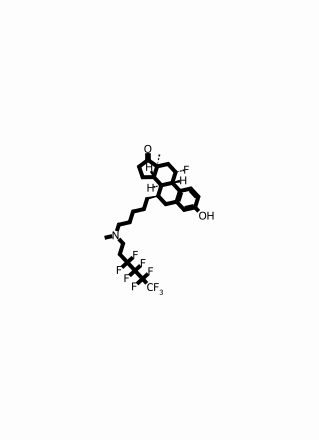 CN(CCCCC[C@@H]1Cc2cc(O)ccc2[C@@H]2[C@@H]1[C@@H]1CCC(=O)[C@@]1(C)C[C@@H]2F)CCC(F)(F)C(F)(F)C(F)(F)C(F)(F)F